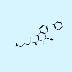 N#CC1c2cc(Oc3ccccc3)ccc2C(O)=C(C(=O)NCCCC(=O)O)N1O